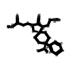 CNC(=O)CCN1C[C@]2(CC[C@@](c3ccccc3)(N(C)C)CC2)N(CCOC)C1=O